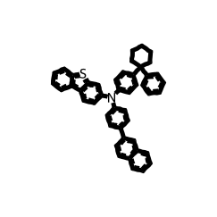 c1ccc(C2(c3ccc(N(c4ccc(-c5ccc6ccccc6c5)cc4)c4ccc5c(c4)sc4ccccc45)cc3)CCCCC2)cc1